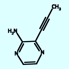 CC#Cc1nccnc1N